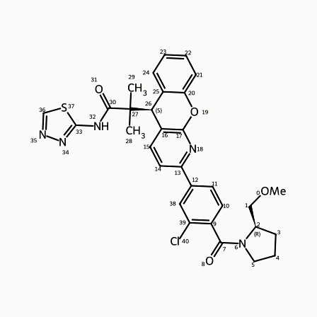 COC[C@H]1CCCN1C(=O)c1ccc(-c2ccc3c(n2)Oc2ccccc2[C@@H]3C(C)(C)C(=O)Nc2nncs2)cc1Cl